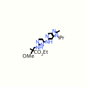 CCOC(=O)C(C)(CNc1nccc(Nc2cc3c(cn2)nc(C)n3C(C)C)n1)COC